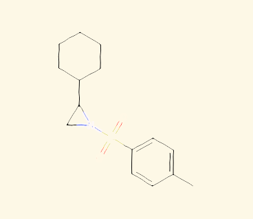 Cc1ccc(S(=O)(=O)N2CC2C2CCCCC2)cc1